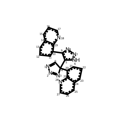 C1=NN=NC1(c1[nH]nnc1-c1cccc2cccnc12)c1cccc2cccnc12